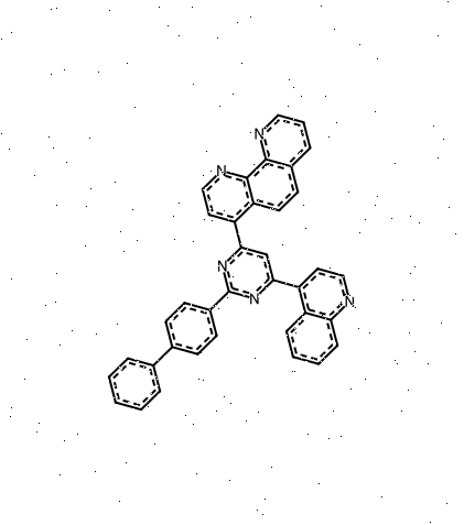 c1ccc(-c2ccc(-c3nc(-c4ccnc5ccccc45)cc(-c4ccnc5c4ccc4cccnc45)n3)cc2)cc1